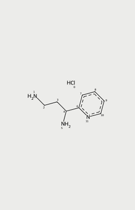 Cl.NCCC(N)c1ccccn1